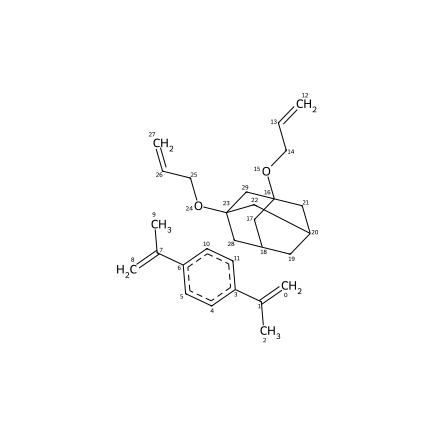 C=C(C)c1ccc(C(=C)C)cc1.C=CCOC12CC3CC(C1)CC(OCC=C)(C3)C2